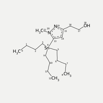 CCC[CH2][Sn]([CH2]CCC)([CH2]CCC)[c]1cc(CCO)nn1C